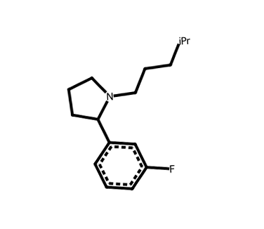 CC(C)CCCN1CCCC1c1cccc(F)c1